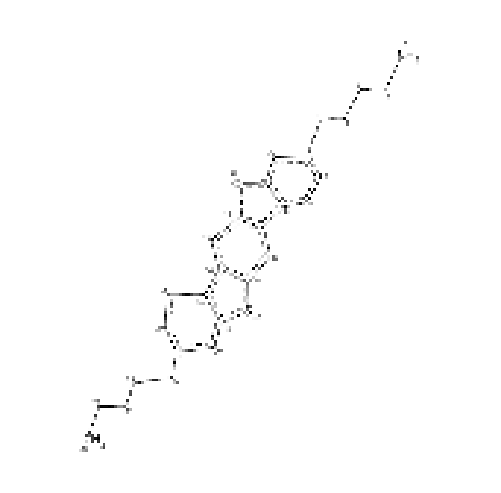 CCCCCc1ccc2c(c1)oc1cc3c(cc12)sc1cc(CCCCC)ccc13